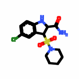 NC(=O)C1Nc2ccc(Cl)cc2C1S(=O)(=O)N1CCCCC1